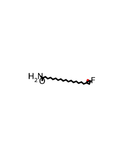 NC(=O)CCCCCCCCCCCCCCCCC12CC(F)(C1)C2